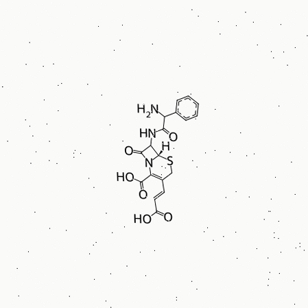 NC(C(=O)NC1C(=O)N2C(C(=O)O)=C(C=CC(=O)O)CS[C@@H]12)c1ccccc1